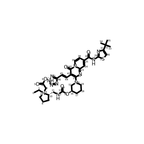 CC[N+]1(CC(=O)[O-])CCC[C@H]1CNC(=O)O[C@@H]1CCCN(c2nc3cc(C(=O)Nc4nc(C(C)(C)C)cs4)ccn3c(=O)c2C=Cc2nn[nH]n2)C1